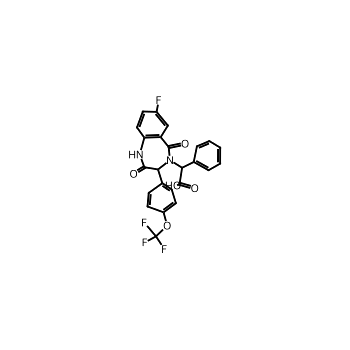 O=C(O)C(c1ccccc1)N1C(=O)c2cc(F)ccc2NC(=O)C1c1ccc(OC(F)(F)F)cc1